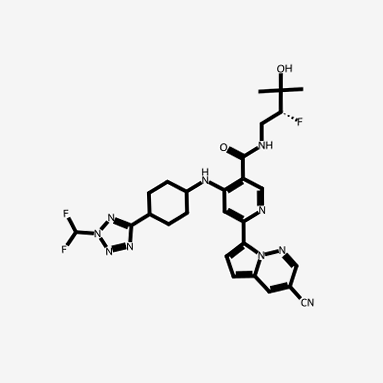 CC(C)(O)[C@H](F)CNC(=O)c1cnc(-c2ccc3cc(C#N)cnn23)cc1NC1CCC(c2nnn(C(F)F)n2)CC1